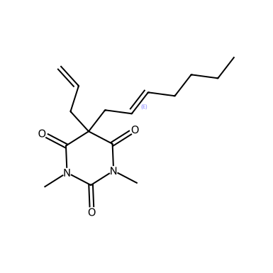 C=CCC1(C/C=C/CCCC)C(=O)N(C)C(=O)N(C)C1=O